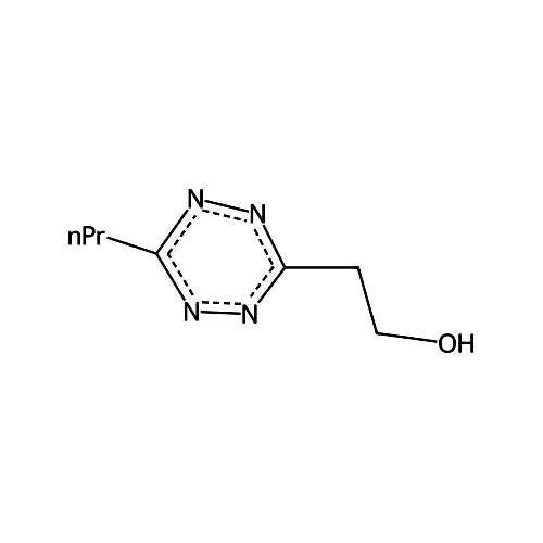 CCCc1nnc(CCO)nn1